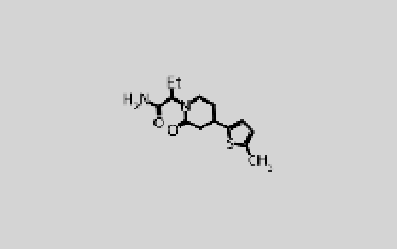 CCC(C(N)=O)N1CCC(c2ccc(C)s2)CC1=O